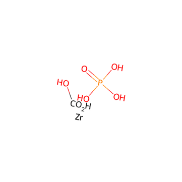 O=C(O)O.O=P(O)(O)O.[Zr]